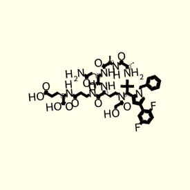 C[C@H](N)C(=O)N[C@H](C)C(=O)N[C@@H](CC(N)=O)C(=O)N[C@@H](CCN(C(=O)CO)[C@@H](c1cc(-c2cc(F)ccc2F)cn1Cc1ccccc1)C(C)(C)C)C(=O)NCCC(=O)N[C@H](CCC(=O)O)C(=O)O